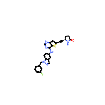 O=C1CC[C@H](C#Cc2cc3ncnc(Nc4ccc5c(cnn5Cc5cccc(F)c5)c4)c3s2)N1